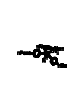 CCCCCCCC[CH2][Ni][CH2]CCCCCCCC.CCCCCc1ccc(C2=C(CCCC)C(C)=C(c3ccc(CCCC)cc3)[N+]2=[N-])cc1